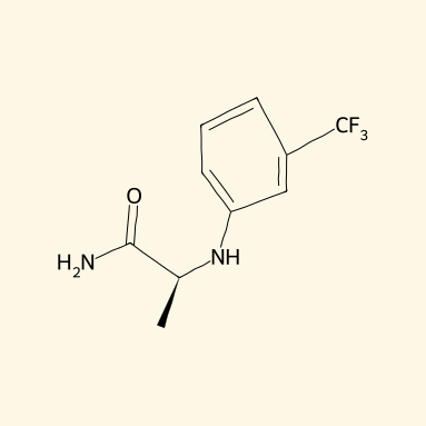 C[C@H](Nc1cccc(C(F)(F)F)c1)C(N)=O